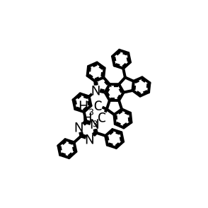 CC1(C)c2ccccc2-c2c3c(c4c5ccccc5n(-c5cccc(-c6nc(-c7ccccc7)nc(-c7ccccc7)n6)c5)c4c21)C(c1ccccc1)c1ccccc1-3